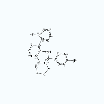 CC(C)c1ncc(C(=O)Nc2c(-c3ccccc3F)ccnc2C2OCCCO2)cn1